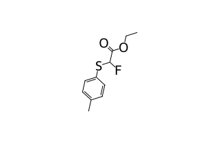 CCOC(=O)C(F)Sc1ccc(C)cc1